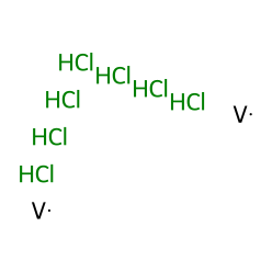 Cl.Cl.Cl.Cl.Cl.Cl.Cl.[V].[V]